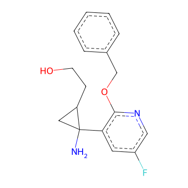 NC1(c2cc(F)cnc2OCc2ccccc2)CC1CCO